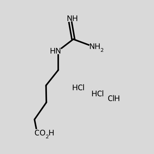 Cl.Cl.Cl.N=C(N)NCCCCC(=O)O